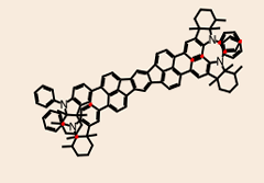 CC1CCCC2(C)c3cc(-c4ccc5c6cc7c(cc6c6ccc(-c8ccc9c(c8)C8(C)CCCC(C)C8(C)N9c8ccccc8)c4c56)c4ccc(-c5ccc6c(c5)C5(C)CCCC(C)C5(C)N6c5ccccc5)c5c(-c6ccc8c(c6)C6(C)CCCC(C)C6(C)N8c6ccccc6)ccc7c54)ccc3N(c3ccccc3)C12C